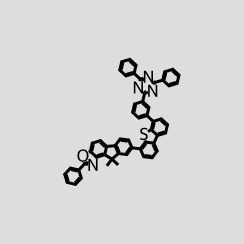 CC1(C)c2cc(-c3cccc4c3sc3c(-c5cccc(-c6nc(-c7ccccc7)nc(-c7ccccc7)n6)c5)cccc34)ccc2-c2ccc3oc(-c4ccccc4)nc3c21